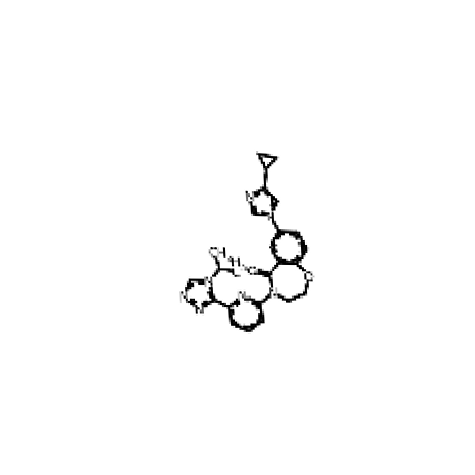 CC(C)n1cnnc1-c1cccc(N2CCOc3ccc(-n4cnc(C5CC5)c4)cc3C2=O)n1